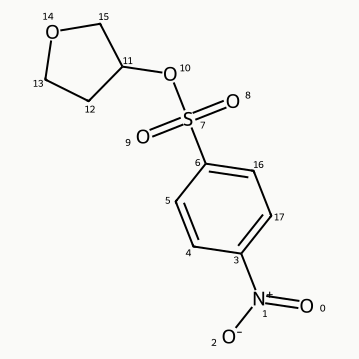 O=[N+]([O-])c1ccc(S(=O)(=O)OC2CCOC2)cc1